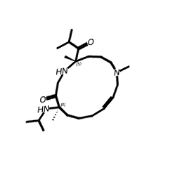 CC(C)N[C@]1(C)CCCC=CCN(C)CCC[C@@](C)(C(=O)C(C)C)NCC1=O